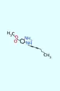 CCCCC#CC#CCNc1ccc(C(=O)OCC)cc1N